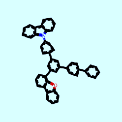 c1ccc(-c2ccc(-c3cc(-c4ccc(-n5c6ccccc6c6ccccc65)cc4)cc(-c4cccc5c4oc4ccccc45)c3)cc2)cc1